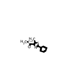 [CH2-][CH+]C(=O)c1nc(-c2ccccc2)sc1C